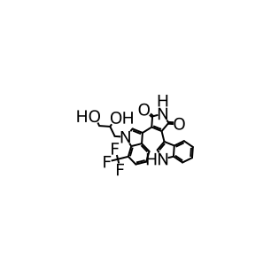 O=C1NC(=O)C(c2cn(CC(O)CO)c3c(C(F)(F)F)cccc23)=C1c1c[nH]c2ccccc12